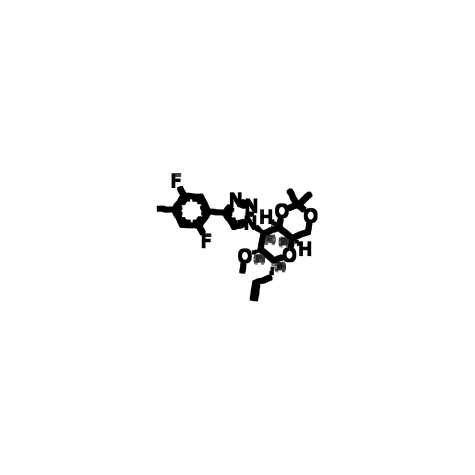 C=CC[C@H]1O[C@@H]2COC(C)(C)O[C@@H]2[C@H](n2cc(-c3cc(F)c(C)cc3F)nn2)[C@H]1OC